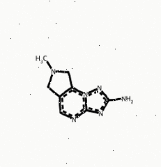 CN1Cc2cnc3nc(N)nn3c2C1